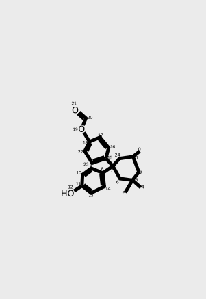 CC1CC(C)(C)CC(c2ccc(O)cc2)(c2ccc(OC=O)cc2)C1